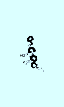 CN1CCc2c(c3ccc(-n4ccc(OCc5ccccc5)cc4=O)cc3n2C)C1.Cl